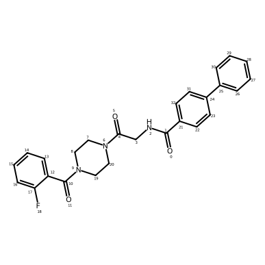 O=C(NCC(=O)N1CCN(C(=O)c2ccccc2F)CC1)c1ccc(-c2ccccc2)cc1